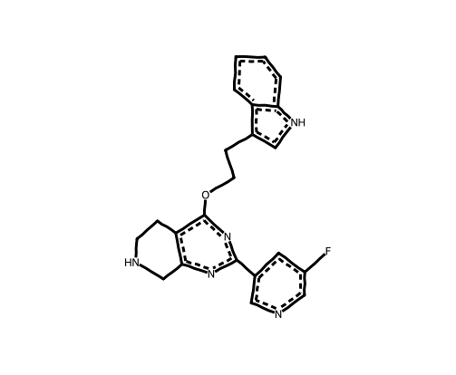 Fc1cncc(-c2nc3c(c(OCCc4c[nH]c5ccccc45)n2)CCNC3)c1